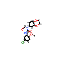 COc1ccc(Cl)cc1NC(=O)N(C=O)c1ccc2c(c1)OCCO2